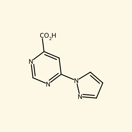 O=C(O)c1cc(-n2cccn2)ncn1